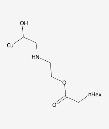 CCCCCCCC(=O)OCCNC[CH](O)[Cu]